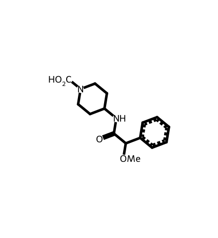 COC(C(=O)NC1CCN(C(=O)O)CC1)c1ccccc1